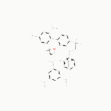 CC(C)c1cc(C(C)C)c(-c2ccc3c4c2OP(=O)(O)Oc2c(-c5c(C(C)C)cc(C(C)C)cc5C(C)(C)C)ccc5c2[C@@]4(CC3(C)C)CC5(C)C)c(C(C)C)c1